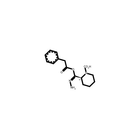 NN=C(OC(=O)Cc1ccccc1)[C@@H]1CCCCN1C(=O)O